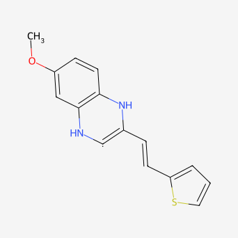 COc1ccc2c(c1)N[C]=C(C=Cc1cccs1)N2